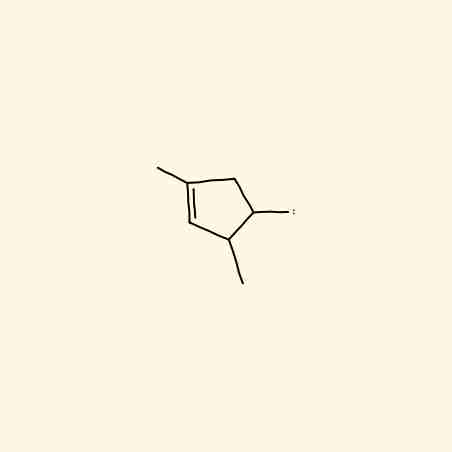 [CH]C1CC(C)=CC1C